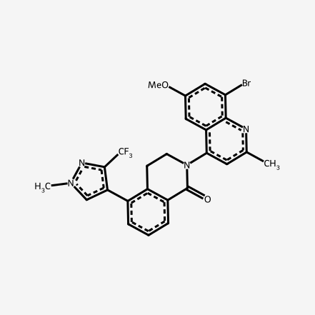 COc1cc(Br)c2nc(C)cc(N3CCc4c(cccc4-c4cn(C)nc4C(F)(F)F)C3=O)c2c1